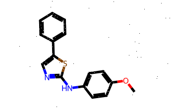 COc1ccc(Nc2ncc(-c3ccccc3)s2)cc1